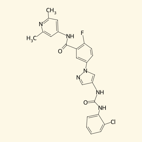 Cc1cc(NC(=O)c2cc(-n3cc(NC(=O)Nc4ccccc4Cl)cn3)ccc2F)cc(C)n1